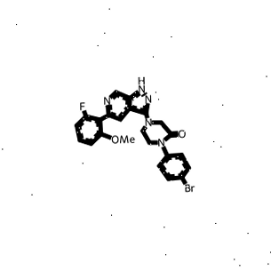 COc1cccc(F)c1-c1cc2c(N3CCN(c4ccc(Br)cc4)C(=O)C3)n[nH]c2cn1